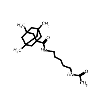 CC(=O)NCCCCCNC(=O)C12CC3(C)CC(C)(CC(C)(C3)C1)C2